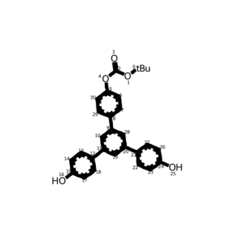 CC(C)(C)OC(=O)Oc1ccc(-c2cc(-c3ccc(O)cc3)cc(-c3ccc(O)cc3)c2)cc1